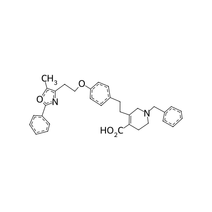 Cc1oc(-c2ccccc2)nc1CCOc1ccc(CCC2=C(C(=O)O)CCN(Cc3ccccc3)C2)cc1